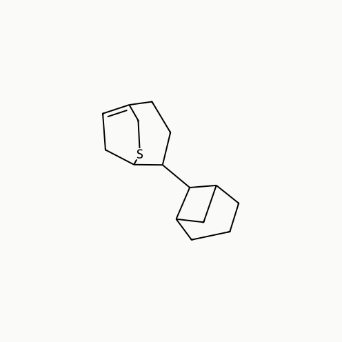 C1=C2CCC(C3C4CCCC3C4)C(C1)SC2